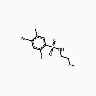 Cc1cc(S(=O)(=O)NCCO)c(F)cc1Br